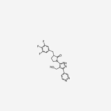 O=C1C(Cc2cc(F)c(F)c(F)c2)CCN1c1[nH]nc(-c2ccnnc2)c1CO